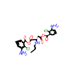 CCCN[C@@H](CC(=O)OC(=O)c1cccc(N)c1Cl)C(=O)OC(=O)c1cccc(N)c1Cl